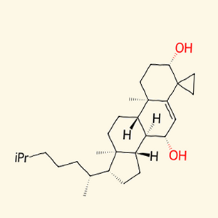 CC(C)CCC[C@@H](C)[C@H]1CC[C@H]2[C@@H]3[C@@H](O)C=C4C5(CC5)[C@@H](O)CC[C@]4(C)[C@H]3CC[C@]12C